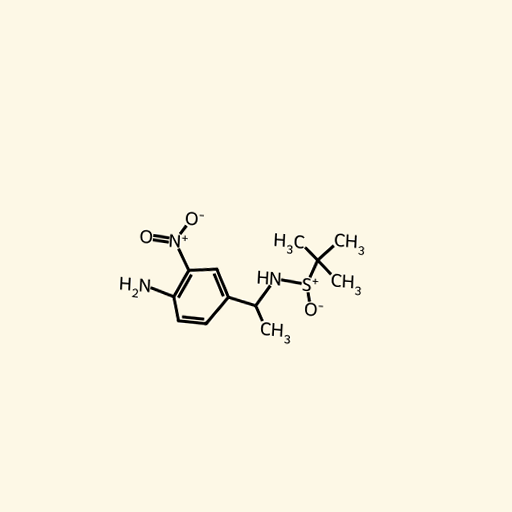 CC(N[S+]([O-])C(C)(C)C)c1ccc(N)c([N+](=O)[O-])c1